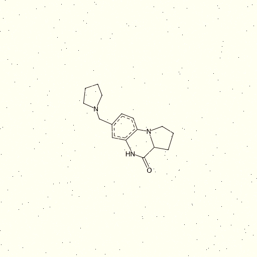 O=C1Nc2cc(CN3CCCC3)ccc2N2CCCC12